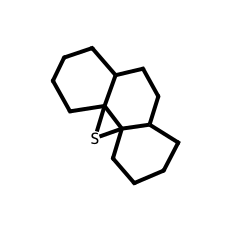 C1CCC23SC24CCCCC4CCC3C1